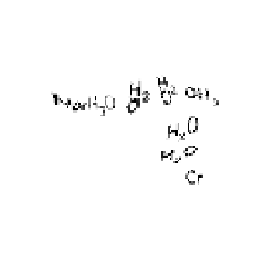 Br.O.O.O.O.O.O.[Cr]